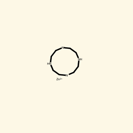 C1CNCC[N-]CCNCC[N-]1.[Zn+2]